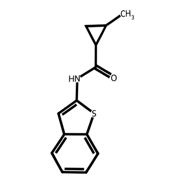 CC1CC1C(=O)Nc1cc2ccccc2s1